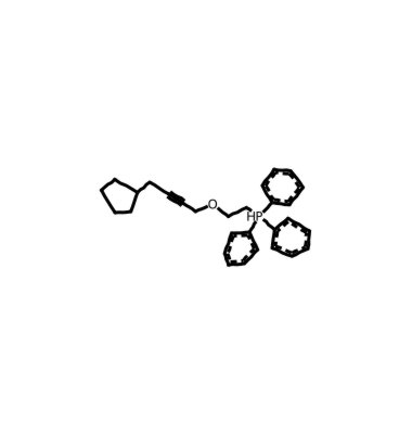 C(#CCC1CCCC1)COCC[PH](c1ccccc1)(c1ccccc1)c1ccccc1